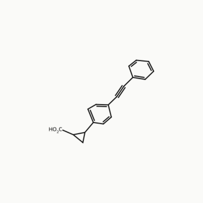 O=C(O)C1CC1c1ccc(C#Cc2ccccc2)cc1